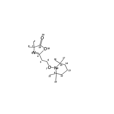 CC1(C)N=C(CCON2C(C)(C)CCCC2(C)C)OC1=O